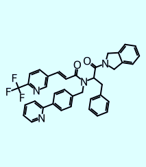 O=C(C(Cc1ccccc1)N(Cc1ccc(-c2ccccn2)cc1)C(=O)C=Cc1ccc(C(F)(F)F)nc1)N1Cc2ccccc2C1